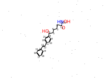 O=C(CCCCC(O)c1ccc(C=Cc2ccccc2)cc1)NO